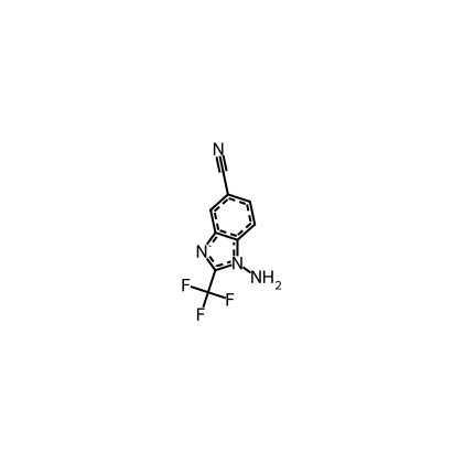 N#Cc1ccc2c(c1)nc(C(F)(F)F)n2N